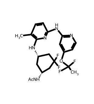 CC(=O)N[C@@H]1C[C@H](Nc2nc(Nc3cc(OC(C)(F)F)ccn3)ccc2C)CC(F)(F)C1